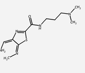 C/N=C1/SC(C(=O)NCCCN(C)C)=N/C1=C/N